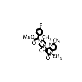 COC(=O)C(c1ccc(F)cc1)N1C[C@H](C)N(c2cc(=O)n(C)c3ccc(C#N)nc23)C[C@H]1C